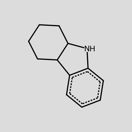 c1ccc2c(c1)NC1CCCCC21